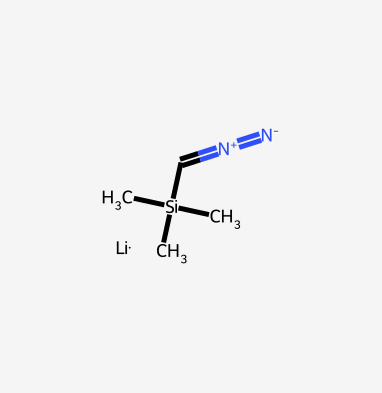 C[Si](C)(C)C=[N+]=[N-].[Li]